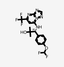 CC(C)(O)[C@H](Nc1cc(C(F)(F)F)nc2ncnn12)c1ccc(OC(F)F)cc1